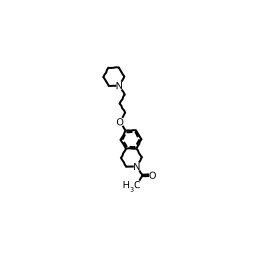 CC(=O)N1CCc2cc(OCCCN3CCCCC3)ccc2C1